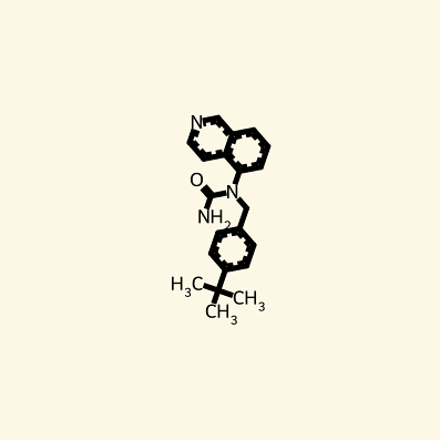 CC(C)(C)c1ccc(CN(C(N)=O)c2cccc3cnccc23)cc1